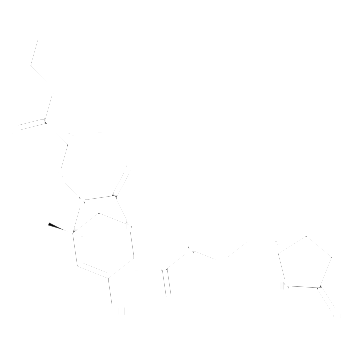 CCOC(=O)[C@H](F)ON1C(=O)N2C[C@@H]1C=C(C)[C@H]2C(=O)NOC[C@@H]1CCC(=O)N1